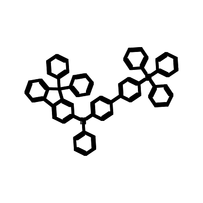 c1ccc(N(c2ccc(-c3ccc([Si](c4ccccc4)(c4ccccc4)c4ccccc4)cc3)cc2)c2ccc3c(c2)C(c2ccccc2)(c2ccccc2)c2ccccc2-3)cc1